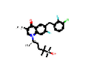 CCOC(=O)c1cn([C@H](CCC(C)(C)[Si](C)(C)O)C(C)(C)C)c2cc(F)c(Cc3cccc(Cl)c3F)cc2c1=O